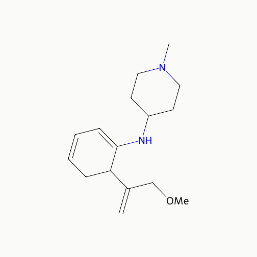 C=C(COC)C1CC=CC=C1NC1CCN(C)CC1